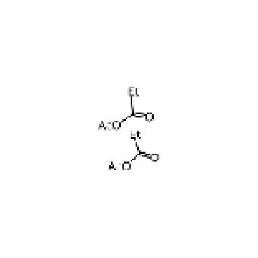 CCC(=O)OC(C)=O.CCC(=O)OC(C)=O